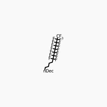 CCCCCCCCCCCCCCC(F)(F)C(F)(F)C(F)(F)C(F)(F)C(F)(F)C(F)(F)C(F)(F)C(F)(F)F